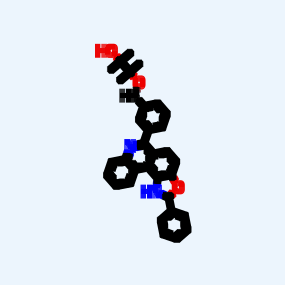 CC(C)(O)C(C)(C)OBc1cccc(-c2nc3ccccc3c3c4c(ccc23)OC(c2ccccc2)N4)c1